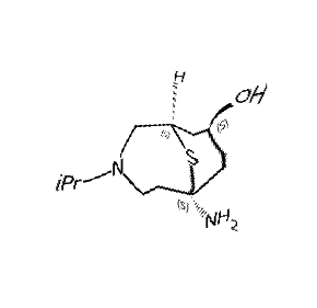 CC(C)N1C[C@@H]2S[C@@](N)(C[C@@H]2O)C1